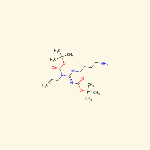 C=CCN(C(=O)OC(C)(C)C)C(=NC(=O)OC(C)(C)C)NCCCCN